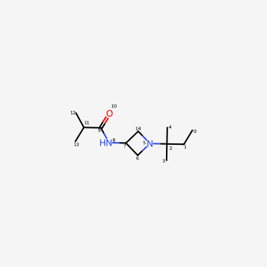 CCC(C)(C)N1CC(NC(=O)C(C)C)C1